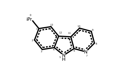 CC(C)c1ccc2[nH]c3ncccc3c2c1